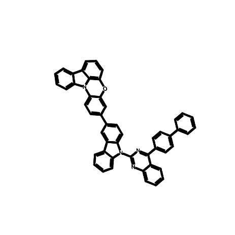 c1ccc(-c2ccc(-c3nc(-n4c5ccccc5c5cc(-c6ccc7c(c6)Oc6cccc8c9ccccc9n-7c68)ccc54)nc4ccccc34)cc2)cc1